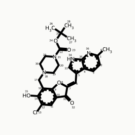 Cc1ccc2c(/C=C3\Oc4c(cc(Cl)c(O)c4CN4CCN(C(=O)OC(C)(C)C)CC4)C3=O)c[nH]c2n1